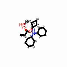 C1CCC(NC2CCCCC2)CC1.C=CC(=O)OC1CCC1.O=NO